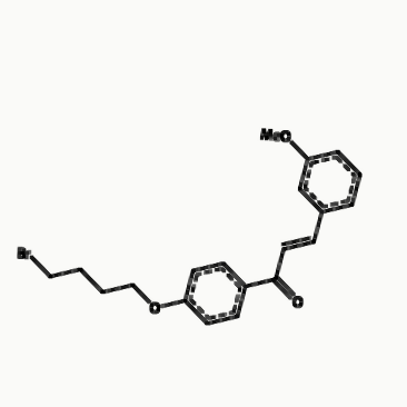 COc1cccc(C=CC(=O)c2ccc(OCCCCBr)cc2)c1